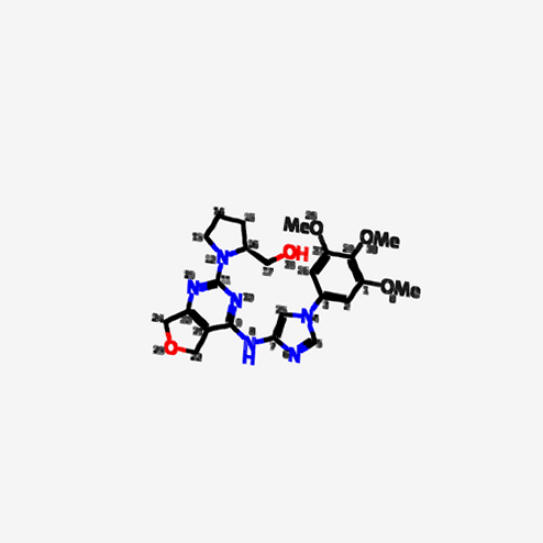 COc1cc(-n2cnc(Nc3nc(N4CCC[C@H]4CO)nc4c3COC4)c2)cc(OC)c1OC